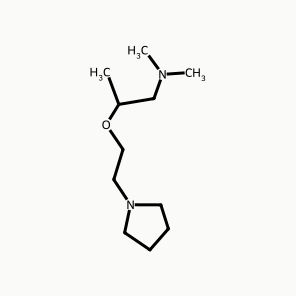 CC(CN(C)C)OCCN1CCCC1